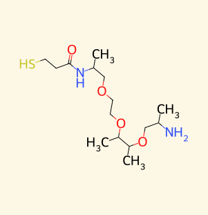 CC(N)COC(C)C(C)OCCOCC(C)NC(=O)CCS